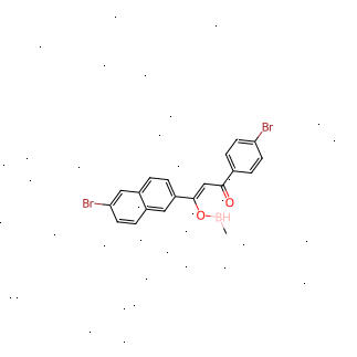 CBO/C(=C\C(=O)c1ccc(Br)cc1)c1ccc2cc(Br)ccc2c1